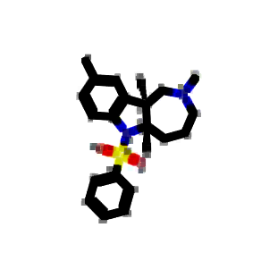 Cc1ccc2c(c1)[C@H]1CN(C)CCC[C@@H]1N2S(=O)(=O)c1ccccc1